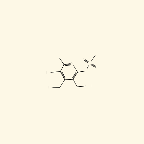 Cc1nc(OS(C)(=O)=O)c(CO)c(CO)c1O